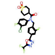 O=C(C1CCS(=O)(=O)CC1)N(Cc1ccc(-c2nnc(C(F)F)o2)cc1F)c1ccc(F)c(Cl)c1